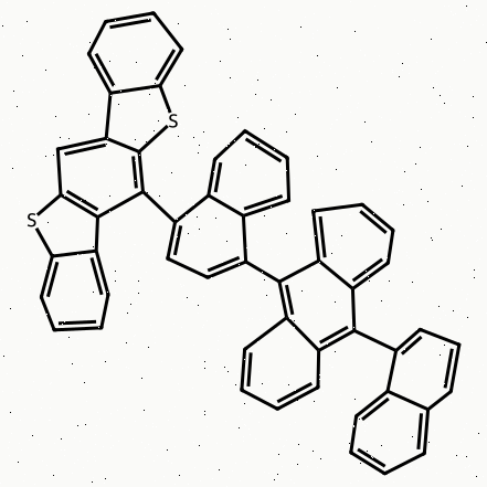 c1ccc2c(-c3c4ccccc4c(-c4ccc(-c5c6sc7ccccc7c6cc6sc7ccccc7c56)c5ccccc45)c4ccccc34)cccc2c1